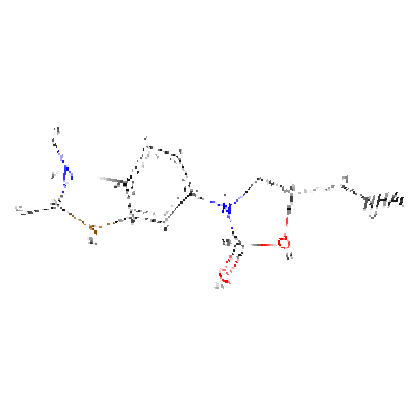 CC(=O)NC[C@H]1CN(c2ccc3c(c2)SC(C)N3C)C(=O)O1